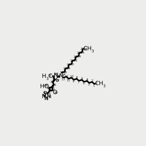 CCCCCCCCCCCCCC[N+](CCCCCCCCCCCCCC)=C1N=C(C)/C(=C/C=C2/C(=O)C(c3nnns3)=C2O)S1